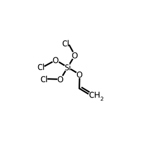 C=CO[Si](OCl)(OCl)OCl